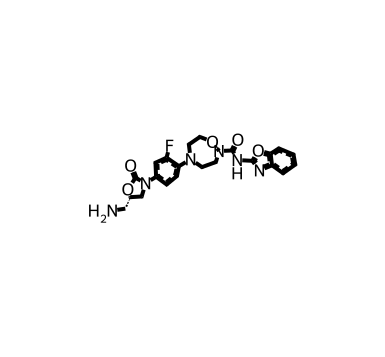 NC[C@H]1CN(c2ccc(N3CCON(C(=O)Nc4nc5ccccc5o4)CC3)c(F)c2)C(=O)O1